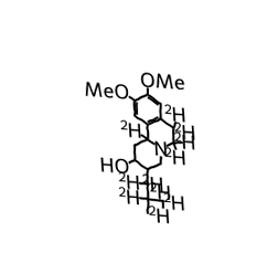 [2H]C12CC(O)C(C([2H])([2H])C([2H])(C)C([2H])([2H])[2H])CN1C([2H])([2H])C([2H])([2H])c1cc(OC)c(OC)cc12